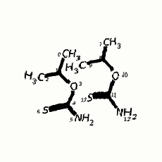 CC(C)OC(N)=S.CC(C)OC(N)=S